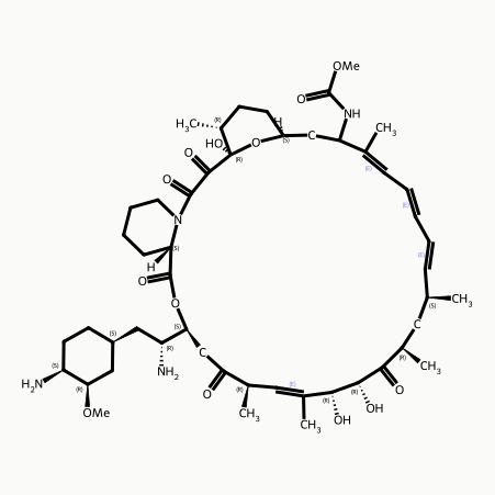 COC(=O)NC1C[C@@H]2CC[C@@H](C)[C@@](O)(O2)C(=O)C(=O)N2CCCC[C@H]2C(=O)O[C@H]([C@H](N)C[C@@H]2CC[C@H](N)[C@H](OC)C2)CC(=O)[C@H](C)/C=C(\C)[C@@H](O)[C@@H](O)C(=O)[C@H](C)C[C@H](C)/C=C/C=C/C=C/1C